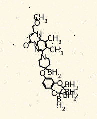 BC1(Oc2ccc3c(c2)OC(B)(B)C(B)(B)O3)CCN(c2nn3c(=O)cc(COC)nc3c(C)c2C)CC1